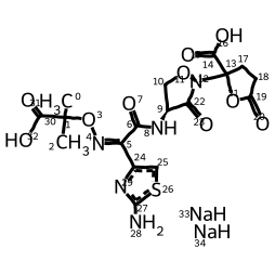 CC(C)(O/N=C(\C(=O)N[C@H]1CON(C2(C(=O)O)CCC(=O)O2)C1=O)c1csc(N)n1)C(=O)O.[NaH].[NaH]